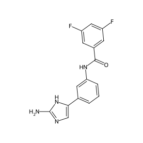 Nc1ncc(-c2cccc(NC(=O)c3cc(F)cc(F)c3)c2)[nH]1